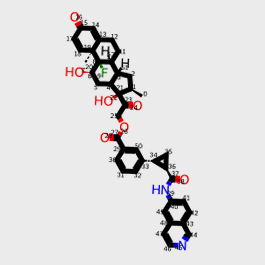 C[C@@H]1C[C@@H]2C(C[C@H](O)[C@@]3(F)[C@H]2CCC2=CC(=O)C=C[C@@]23C)[C@@]1(O)C(=O)COC(=O)c1cccc([C@@H]2C[C@H]2C(=O)Nc2ccc3cnccc3c2)c1